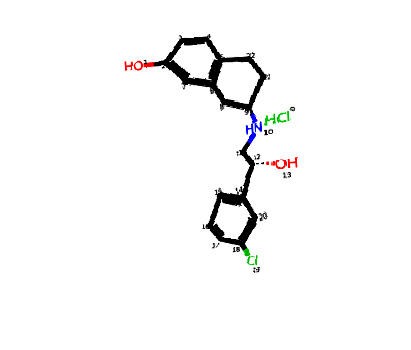 Cl.Oc1ccc2c(c1)C[C@H](NC[C@H](O)c1cccc(Cl)c1)CC2